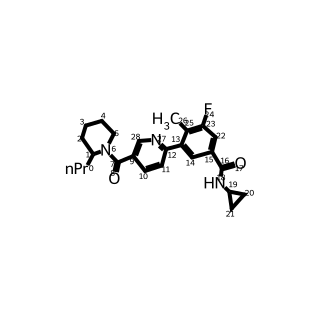 CCCC1CCCCN1C(=O)c1ccc(-c2cc(C(=O)NC3CC3)cc(F)c2C)nc1